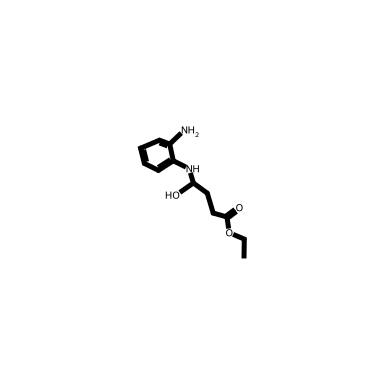 CCOC(=O)CCC(O)Nc1ccccc1N